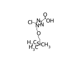 C[Si](C)(C)CCOCn1nc(C(=O)O)nc1Cl